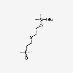 CC(C)(C)[Si](C)(C)OCCSCCP(C)(C)=O